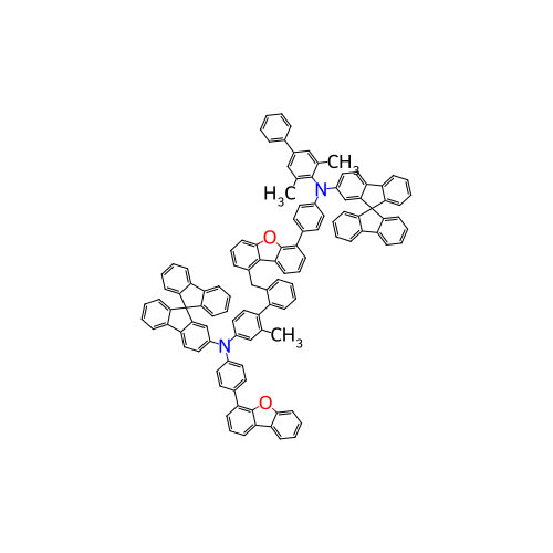 Cc1cc(N(c2ccc(-c3cccc4c3oc3ccccc34)cc2)c2ccc3c(c2)C2(c4ccccc4-c4ccccc42)c2ccccc2-3)ccc1-c1ccccc1Cc1cccc2oc3c(-c4ccc(N(c5ccc6c(c5)C5(c7ccccc7-c7ccccc75)c5ccccc5-6)c5c(C)cc(-c6ccccc6)cc5C)cc4)cccc3c12